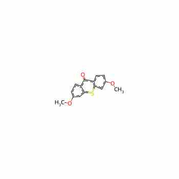 COc1ccc2c(=O)c3ccc(OC)cc3sc2c1